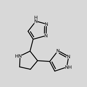 c1[nH]nnc1C1CCNC1c1c[nH]nn1